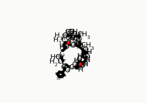 C=C1C[C@@H](OC(=O)c2ccccc2)CC[C@@]23C[C@H]4O[C@H]5C(O2)[C@H]2O[C@H](CC[C@@H]2O[C@H]5[C@H]4O3)CC(=O)CC2C(C[C@H]3O[C@@H](CC[C@H]1O)C[C@@H](C)C3=C)O[C@H](C[C@H](C)CO[Si](C)(C)C(C)(C)C)[C@@H]2C